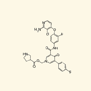 Nc1nccc(Oc2ccc(NC(=O)c3cn(COC(=O)C4CCNC4)cc(-c4ccc(F)cc4)c3=O)cc2F)c1Cl